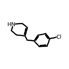 Clc1ccc(CC2=CCNCC2)cc1